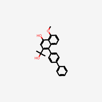 COc1cccc2c(-c3ccc(-c4ccccc4)cc3)c(C(C)(C)O)cc(O)c12